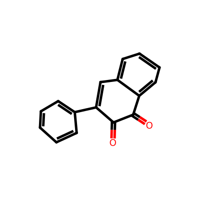 O=C1C(=O)c2ccccc2C=C1c1ccccc1